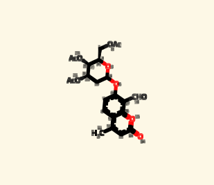 CC(=O)OC[C@H]1OC(Oc2ccc3c(C)cc(=O)oc3c2C=O)C[C@@H](OC(C)=O)[C@H]1OC(C)=O